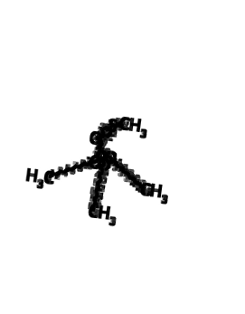 CCCCCCCCCCCCOc1cc(C=CC(=O)c2ccc(SCCC)cc2)cc(OCCCCCCCCCCCC)c1OCCCCCCCCCCCC